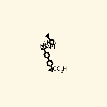 Cn1ncc(-c2ccc(-c3ccc(C4(C(=O)O)CC4)cc3)cc2)c1Nc1cncc(C2CC2)n1